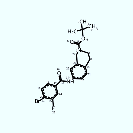 CC(C)(C)OC(=O)N1CCc2ccc(NC(=O)c3ccc(Br)c(F)c3)cc2C1